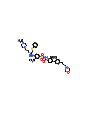 COc1cc(CCCN2CCOCC2)ccc1-c1ccc(C(=O)NS(=O)(=O)c2ccc(N[C@H](CCCN3CCN(C)CC3)CSc3ccccc3)c([N+](=O)[O-])c2)cc1